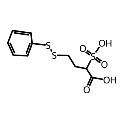 O=C(O)C(CCSSc1ccccc1)S(=O)(=O)O